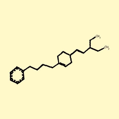 CCC(CC)CCC1CC=C(CCCCc2ccccc2)CC1